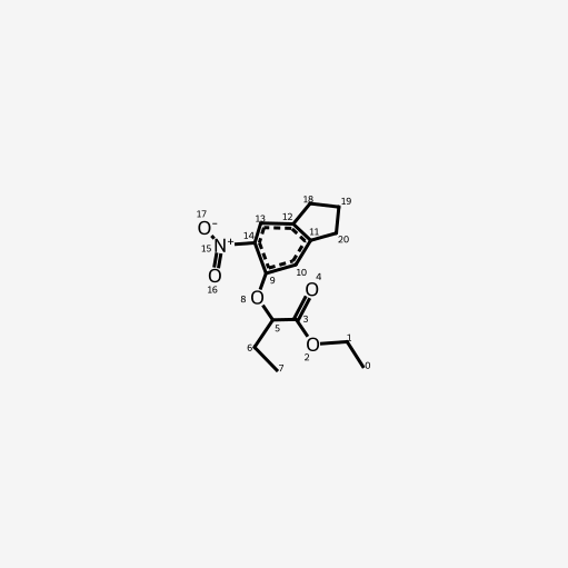 CCOC(=O)C(CC)Oc1cc2c(cc1[N+](=O)[O-])CCC2